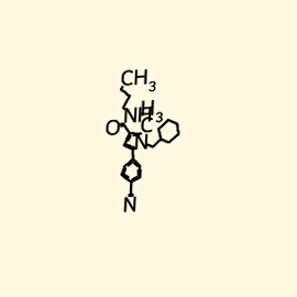 CCCCNC(=O)c1cc(-c2ccc(C#N)cc2)n(CC2CCCCC2)c1C